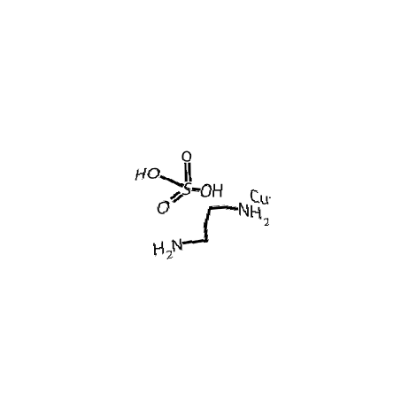 NCCN.O=S(=O)(O)O.[Cu]